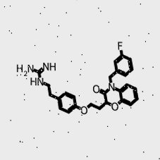 N=C(N)NCCc1ccc(OCCC2Oc3ccccc3N(Cc3cccc(F)c3)C2=O)cc1